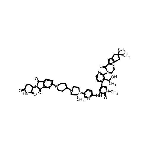 CC(O)c1c(-c2cc(Nc3ccc(N4CCN(C5CCN(c6ccc7c(c6)C(=O)N(C6CCC(=O)NC6=O)C7=O)CC5)C[C@@H]4C)cn3)c(=O)n(C)c2)ccnc1N1CCn2c(cc3c2CC(C)(C)C3)C1=O